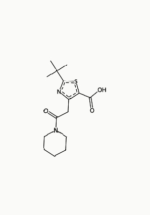 CC(C)(C)c1nc(CC(=O)N2CCCCC2)c(C(=O)O)s1